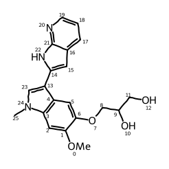 COc1cc2c(cc1OCC(O)CO)c(-c1cc3cccnc3[nH]1)cn2C